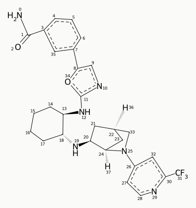 NC(=O)c1cccc(-c2cnc(N[C@@H]3CCCC[C@H]3N[C@H]3C[C@@H]4C[C@H]3N(c3ccnc(C(F)(F)F)c3)C4)o2)c1